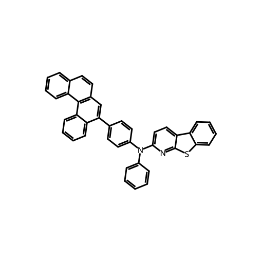 c1ccc(N(c2ccc(-c3cc4ccc5ccccc5c4c4ccccc34)cc2)c2ccc3c(n2)sc2ccccc23)cc1